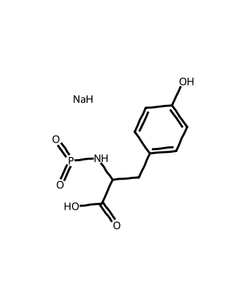 O=C(O)C(Cc1ccc(O)cc1)NP(=O)=O.[NaH]